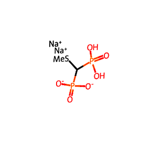 CSC(P(=O)([O-])[O-])P(=O)(O)O.[Na+].[Na+]